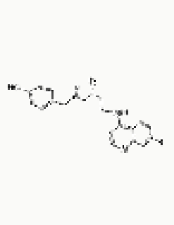 CCC(CCNc1ccnc2cc(I)ccc12)CNCc1ccc(O)cc1